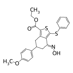 CCOC(=O)c1sc(Sc2ccccc2)c2c1CC(c1ccc(OC)cc1)C/C2=N\O